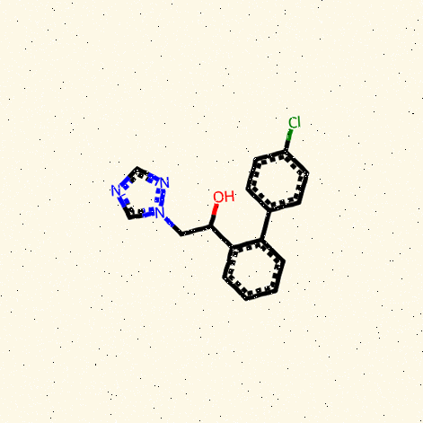 OC(Cn1cncn1)c1ccccc1-c1ccc(Cl)cc1